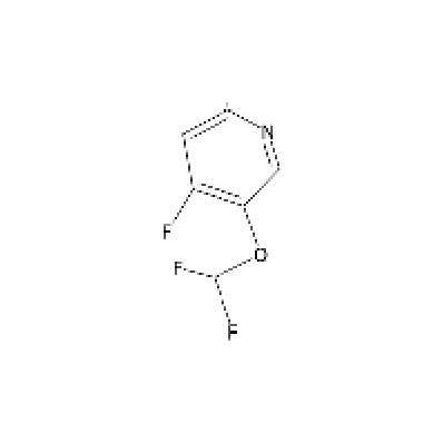 Fc1c[c]ncc1OC(F)F